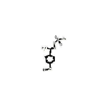 CCCS(=O)(=O)O/N=C(/c1ccc(OCC)cc1)C(F)(F)F